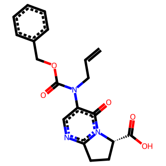 C=CCN(C(=O)OCc1ccccc1)c1cnc2n(c1=O)[C@H](C(=O)O)CC2